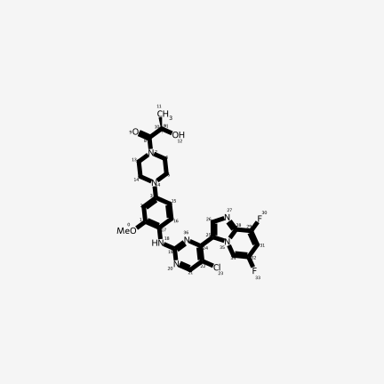 COc1cc(N2CCN(C(=O)[C@@H](C)O)CC2)ccc1Nc1ncc(Cl)c(-c2cnc3c(F)cc(F)cn23)n1